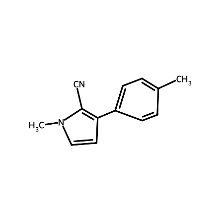 Cc1ccc(-c2ccn(C)c2C#N)cc1